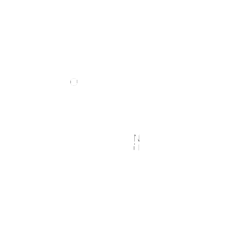 C1CC2COCCC2N1